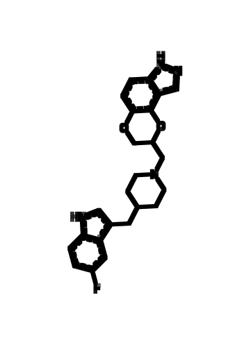 Fc1ccc2[nH]cc(CC3CCN(CC4COc5ccc6[nH]ncc6c5O4)CC3)c2c1